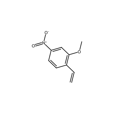 C=Cc1ccc([N+](=O)[O-])cc1OC